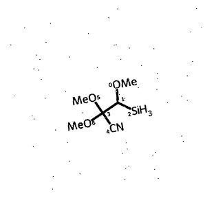 COC([SiH3])C(C#N)(OC)OC